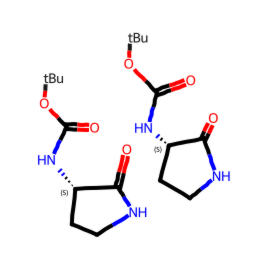 CC(C)(C)OC(=O)N[C@H]1CCNC1=O.CC(C)(C)OC(=O)N[C@H]1CCNC1=O